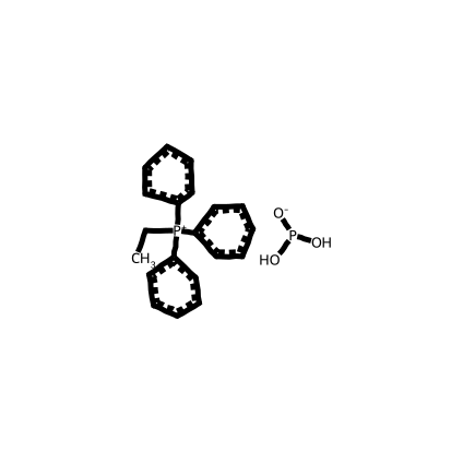 CC[P+](c1ccccc1)(c1ccccc1)c1ccccc1.[O-]P(O)O